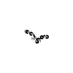 c1cc2nc(-c3ccc(CN4CCCCC4)cc3)cc(NCCCN3CCC(N4CCOCC4)CC3)c2s1